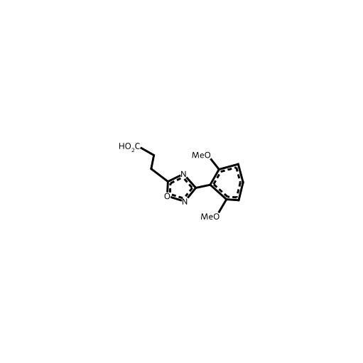 COc1cccc(OC)c1-c1noc(CCC(=O)O)n1